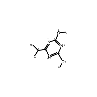 COc1nc(OC)nc(C(C)C)n1